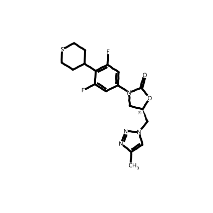 Cc1cn(C[C@H]2CN(c3cc(F)c(C4CCSCC4)c(F)c3)C(=O)O2)nn1